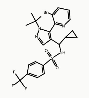 CC(C)(C)n1ncc(C(NS(=O)(=O)c2ccc(C(F)(F)F)cc2)C2CC2)c1-c1ncccc1Br